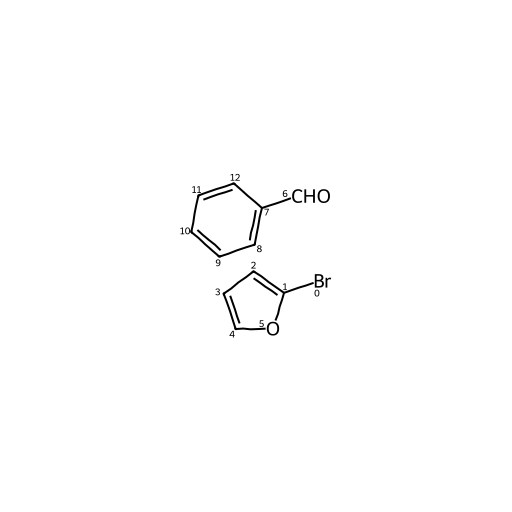 Brc1ccco1.O=Cc1ccccc1